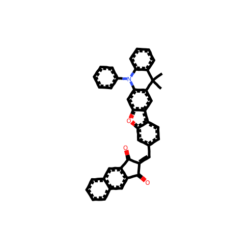 CC1(C)c2ccccc2N(c2ccccc2)c2cc3oc4cc(C=C5C(=O)c6cc7ccccc7cc6C5=O)ccc4c3cc21